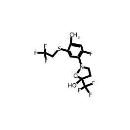 Cc1cc(F)c(N2CCC(O)(C(F)(F)F)O2)cc1SCC(F)(F)F